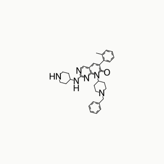 Cc1ccccc1-c1cc2cnc(NC3CCNCC3)nc2n(C2CCN(Cc3ccccc3)CC2)c1=O